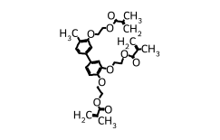 C=C(C)C(=O)OCCOc1cc(-c2ccc(OCCOC(=O)C(=C)C)c(OCCOC(=O)C(=C)C)c2)ccc1C